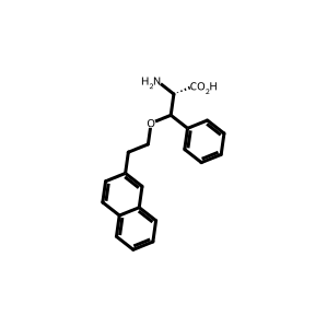 N[C@H](C(=O)O)C(OCCc1ccc2ccccc2c1)c1ccccc1